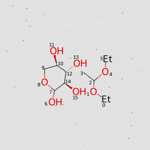 CCOC(C)OCC.OC1OC[C@@H](O)[C@H](O)[C@H]1O